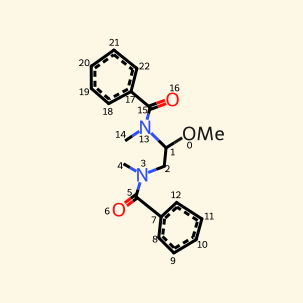 COC(CN(C)C(=O)c1ccccc1)N(C)C(=O)c1ccccc1